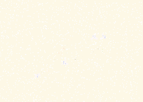 Cc1cn2cc(-c3cc(S(C)(=O)=O)c4c(=O)n(C5CCB(C#N)CC5)ccc4c3)cc(F)c2n1